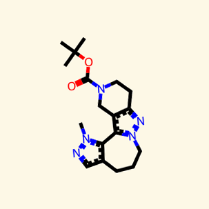 Cn1ncc2c1-c1c3c(nn1CCC2)CCN(C(=O)OC(C)(C)C)C3